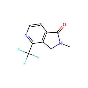 CN1Cc2c(ccnc2C(F)(F)F)C1=O